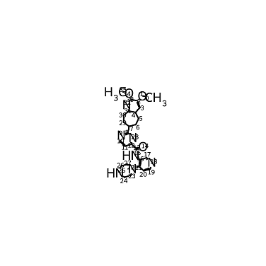 COC1=CC2CCC(c3nccc(C(=O)Nc4cnccc4N4CCNCC4)n3)CCC2N=C1OC